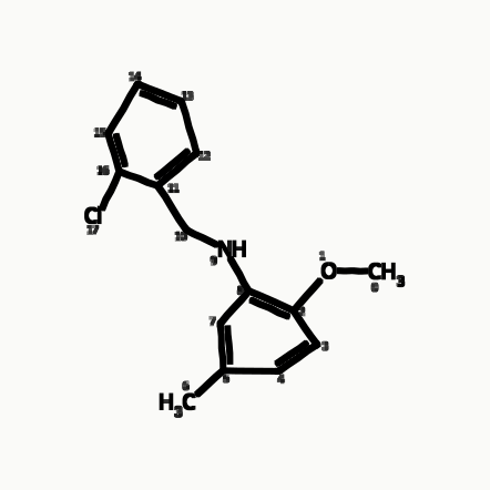 COc1ccc(C)cc1NCc1ccccc1Cl